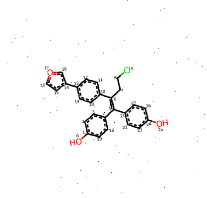 Oc1ccc(C(=C(CCCl)c2ccc(-c3ccoc3)cc2)c2ccc(O)cc2)cc1